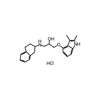 Cc1[nH]c2cccc(OCC(O)CNC3CCc4ccccc4C3)c2c1C.Cl